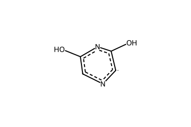 Oc1[c]ncc(O)n1